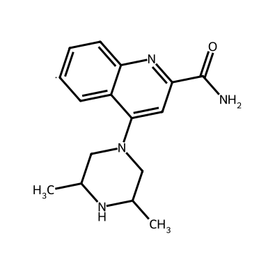 CC1CN(c2cc(C(N)=O)nc3cc[c]cc23)CC(C)N1